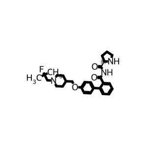 CC(C)(F)CN1CCC(COc2ccc(-c3ccccc3C(=O)NC(=O)[C@H]3CCCN3)cc2)CC1